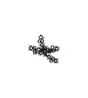 O=C(Oc1ccccc1)c1ccc(C2=NC(c3ccc(Br)cc3Br)(n3c(-c4ccc(Br)cc4Br)nc(-c4ccc(C(=O)Oc5ccccc5)cc4)c3-c3ccc(C(=O)Oc4ccccc4)cc3)N=C2c2ccc(C(=O)Oc3ccccc3)cc2)cc1